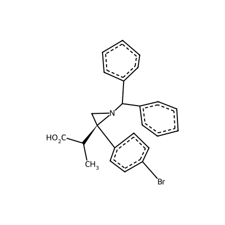 CC(C(=O)O)[C@@]1(c2ccc(Br)cc2)CN1C(c1ccccc1)c1ccccc1